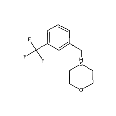 FC(F)(F)c1cccc(C[SH]2CCOCC2)c1